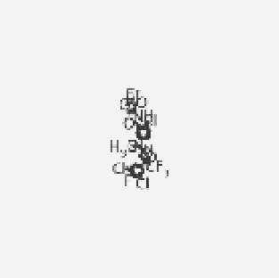 CCN1OC[C@@H](NC(=O)c2cc(N(C)C3=NOC(c4cc(Cl)c(F)c(Cl)c4)(C(F)(F)F)C3)ccc2Cl)C1=O